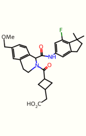 COCc1ccc2c(c1)CCN(C(=O)C1CC(CC(=O)O)C1)C2C(=O)Nc1cc(F)c2c(c1)CCC2(C)C